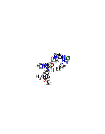 CCC1CCN(c2ncc(Cl)c(Nc3ccc4c(c3)cc(CCC(=O)Cc3nc(N5CCC(I)CC5)nc(Nc5ccc6c(c5)cc(CCC(C)=O)c(=O)n6C)c3Cl)c(=O)n4C)n2)CC1